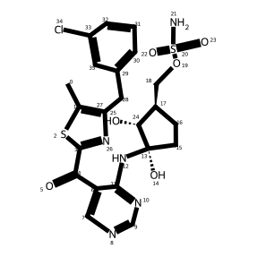 Cc1sc(C(=O)c2cncnc2N[C@]2(O)CC[C@H](COS(N)(=O)=O)[C@H]2O)nc1Cc1cccc(Cl)c1